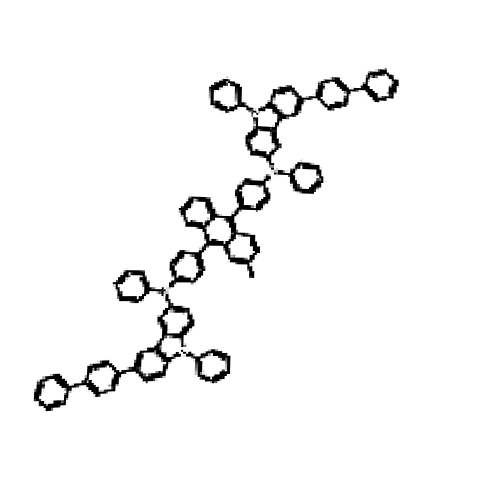 Cc1ccc2c(-c3ccc(N(c4ccccc4)c4ccc5c(c4)c4cc(-c6ccc(-c7ccccc7)cc6)ccc4n5-c4ccccc4)cc3)c3ccccc3c(-c3ccc(N(c4ccccc4)c4ccc5c(c4)c4cc(-c6ccc(-c7ccccc7)cc6)ccc4n5-c4ccccc4)cc3)c2c1